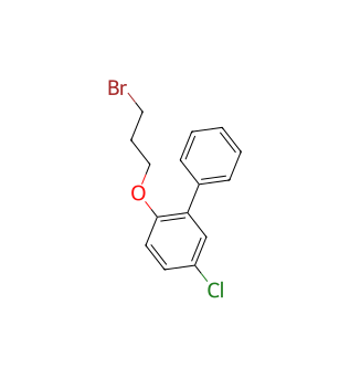 Clc1ccc(OCCCBr)c(-c2ccccc2)c1